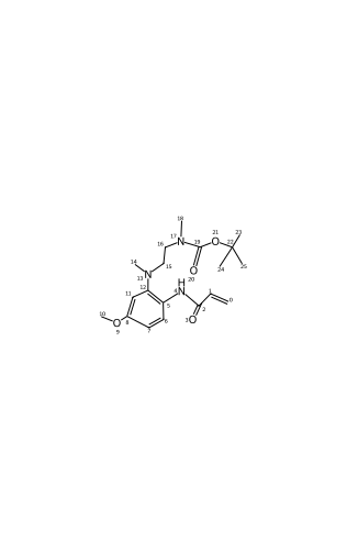 C=CC(=O)Nc1ccc(OC)cc1N(C)CCN(C)C(=O)OC(C)(C)C